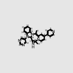 CC1=C2C=C(c3ccncc3)C=CN2C2(C)NC2C2N1c1ccccc1N2c1cncnc1